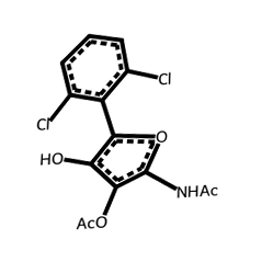 CC(=O)Nc1oc(-c2c(Cl)cccc2Cl)c(O)c1OC(C)=O